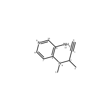 C#CC(C)N(C)c1ccncc1N